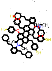 C=CNC(=C)c1cc(Cc2ccc(S)cc2)c2c3c(Cc4ccc(S)cc4)cc4c5c(cc(Oc6ccc(S)cc6)c(c6c(Cc7ccc(S)cc7)cc(-c7c(CCC8CCCCC8)cccc7CCC7CCCCC7)c1c26)c53)C(=C)N(c1c(CCC2CCCCC2)cccc1CCC1CCCCC1)C4=C